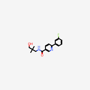 CC(C)(CO)CNC(=O)c1ccc(-c2cccc(F)c2)nc1